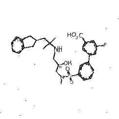 CN(C[C@H](O)CNC(C)(C)CC1Cc2ccccc2C1)S(=O)(=O)c1cccc(-c2cc(F)cc(C(=O)O)c2)c1